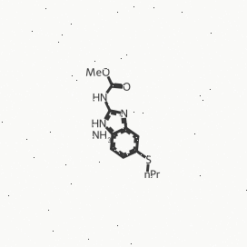 CCCSc1ccc2[nH]c(NC(=O)OC)nc2c1.N